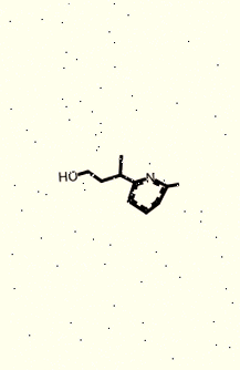 Cc1cccc(C(C)CCO)n1